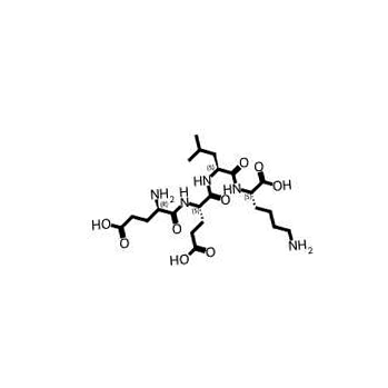 CC(C)C[C@H](NC(=O)[C@H](CCC(=O)O)NC(=O)[C@H](N)CCC(=O)O)C(=O)N[C@@H](CCCCN)C(=O)O